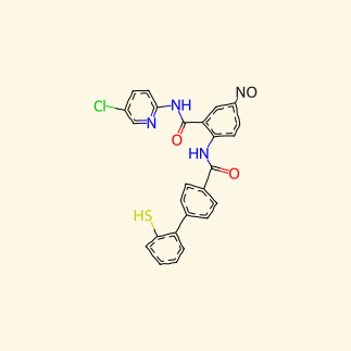 O=Nc1ccc(NC(=O)c2ccc(-c3ccccc3S)cc2)c(C(=O)Nc2ccc(Cl)cn2)c1